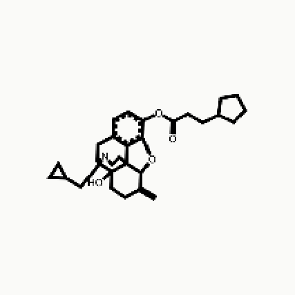 C=C1CCC2(O)C3Cc4ccc(OC(=O)CCC5CCCC5)c5c4C2(CCN3CC2CC2)C1O5